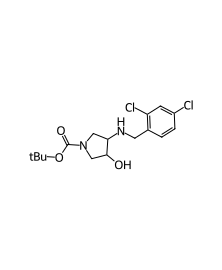 CC(C)(C)OC(=O)N1CC(O)C(NCc2ccc(Cl)cc2Cl)C1